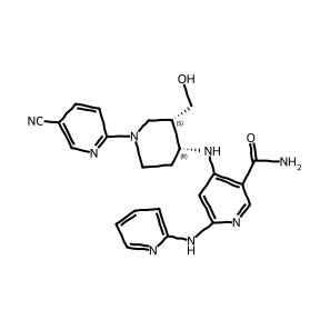 N#Cc1ccc(N2CC[C@@H](Nc3cc(Nc4ccccn4)ncc3C(N)=O)[C@@H](CO)C2)nc1